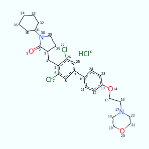 Cl.O=C1C(Cc2c(Cl)cc(-c3ccc(OCCN4CCOCC4)cc3)cc2Cl)CCN1C1CCCCC1